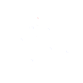 CS(=O)(=O)N1CC=C(c2cc3c(N4CC[C@H](O)[C@@H](NC(=O)c5nccs5)C4)ccc(C#N)c3[nH]2)CC1